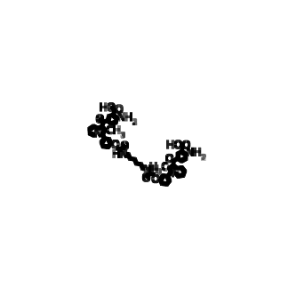 Cc1c(C(=O)c2ccc(N)c(C(=O)O)c2)c2ccccn2c1-c1cccc(OCC(=O)NCCCCCCNC(=O)COc2cccc(-c3c(C)c(C(=O)c4ccc(N)c(C(=O)O)c4)c4ccccn34)c2)c1